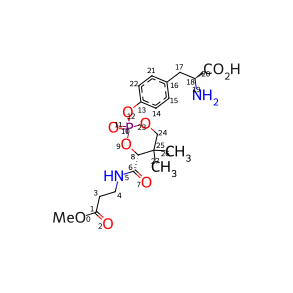 COC(=O)CCNC(=O)[C@@H]1O[P@@](=O)(Oc2ccc(C[C@H](N)C(=O)O)cc2)OCC1(C)C